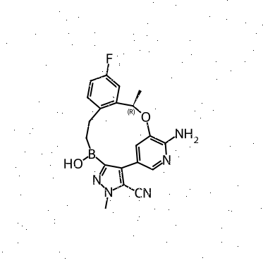 C[C@H]1Oc2cc(cnc2N)-c2c(nn(C)c2C#N)B(O)CCc2ccc(F)cc21